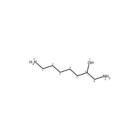 NCCCCCC(O)CN